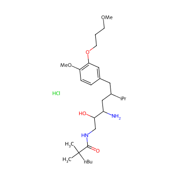 CCCCC(C)(C)C(=O)NCC(O)C(N)CC(Cc1ccc(OC)c(OCCCOC)c1)C(C)C.Cl